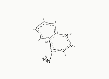 [NH]c1cnnc2ccccc12